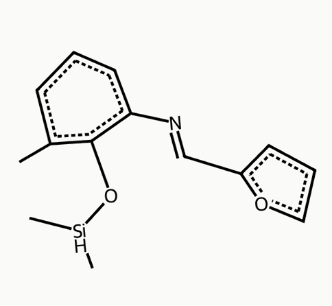 Cc1cccc(N=Cc2ccco2)c1O[SiH](C)C